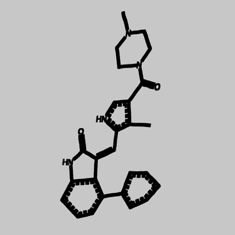 Cc1c(C(=O)N2CCN(C)CC2)c[nH]c1C=C1C(=O)Nc2cccc(-c3ccccc3)c21